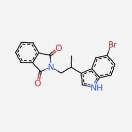 CC(CN1C(=O)c2ccccc2C1=O)c1c[nH]c2ccc(Br)cc12